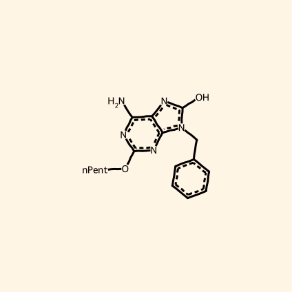 CCCCCOc1nc(N)c2nc(O)n(Cc3ccccc3)c2n1